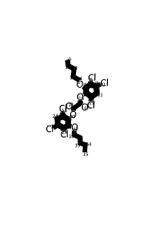 CCCCCOc1c(Cl)c(Cl)cc(Cl)c1OC(=O)C(=O)Oc1c(Cl)cc(Cl)c(Cl)c1OCCCCC